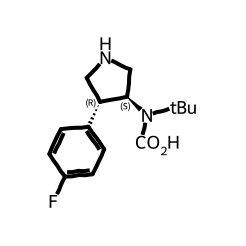 CC(C)(C)N(C(=O)O)[C@@H]1CNC[C@H]1c1ccc(F)cc1